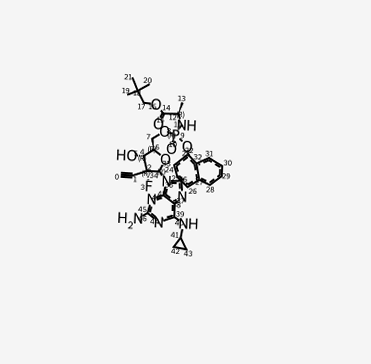 C#C[C@@]1(F)[C@H](O)[C@@H](CO[P@](=O)(N[C@H](C)C(=O)OCC(C)(C)C)Oc2cccc3ccccc23)O[C@H]1n1cnc2c(NC3CC3)nc(N)nc21